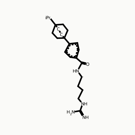 CC(C)C12CCC(c3ccc(C(=O)N[CH]CCCNC(=N)N)cc3)(CC1)CC2